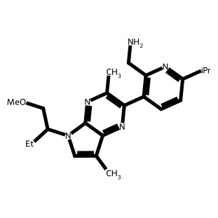 CCC(COC)n1cc(C)c2nc(-c3ccc(C(C)C)nc3CN)c(C)nc21